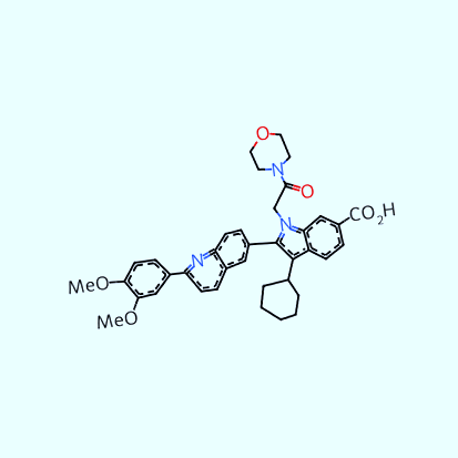 COc1ccc(-c2ccc3cc(-c4c(C5CCCCC5)c5ccc(C(=O)O)cc5n4CC(=O)N4CCOCC4)ccc3n2)cc1OC